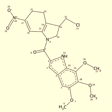 COc1cc2cc(C(=O)N3CC(CCl)C4=C3C=C([N+](=O)[O-])CC4)[nH]c2c(OC)c1OC